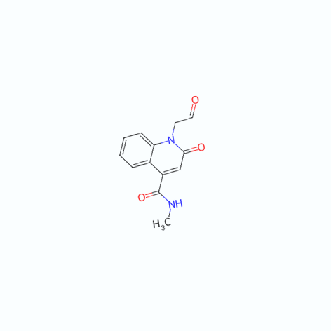 CNC(=O)c1cc(=O)n(CC=O)c2ccccc12